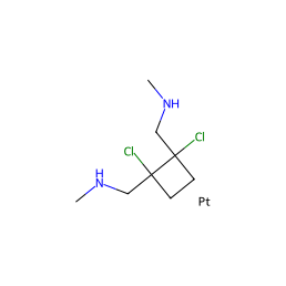 CNCC1(Cl)CCC1(Cl)CNC.[Pt]